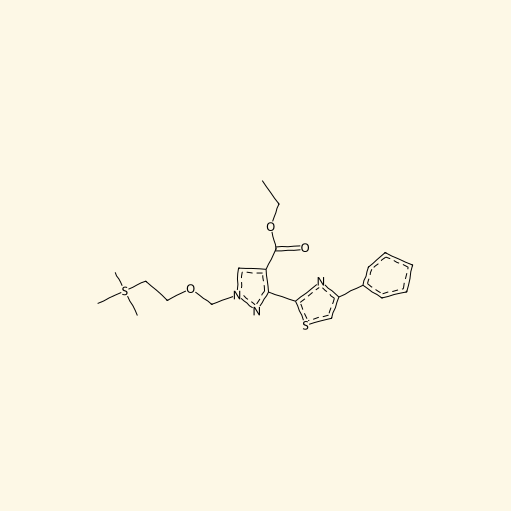 CCOC(=O)c1cn(COCCS(C)(C)C)nc1-c1nc(-c2ccccc2)cs1